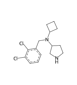 Clc1cccc(CN(C2CCC2)C2CCNC2)c1Cl